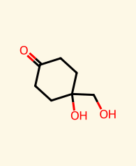 O=C1CCC(O)(CO)CC1